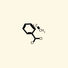 C=C.ClC(Cl)c1ccccc1